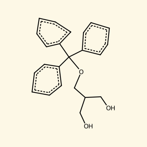 OCC(CO)COC(c1ccccc1)(c1ccccc1)c1ccccc1